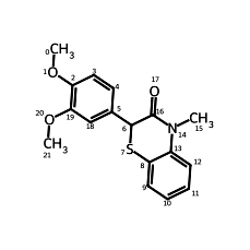 COc1ccc(C2Sc3ccccc3N(C)C2=O)cc1OC